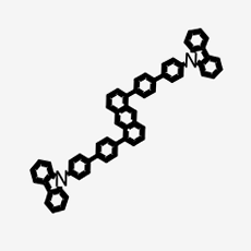 c1cc(-c2ccc(-c3ccc(-n4c5ccccc5c5ccccc54)cc3)cc2)c2cc3cccc(-c4ccc(-c5ccc(-n6c7ccccc7c7ccccc76)cc5)cc4)c3cc2c1